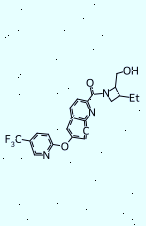 CCC1CN(C(=O)c2ccc3cc(Oc4ccc(C(F)(F)F)cn4)ccc3n2)C1CO